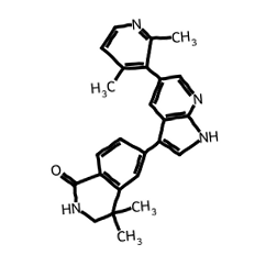 Cc1ccnc(C)c1-c1cnc2[nH]cc(-c3ccc4c(c3)C(C)(C)CNC4=O)c2c1